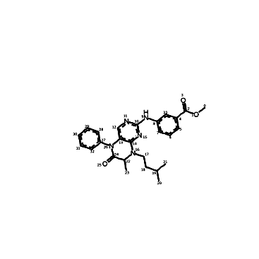 COC(=O)c1cccc(Nc2ncc3c(n2)N(CCC(C)C)C(C)C(=O)N3c2ccccc2)c1